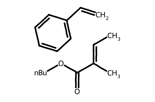 C=Cc1ccccc1.CC=C(C)C(=O)OCCCC